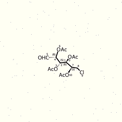 CC(=O)O[C@H]([C@H](OC(C)=O)[C@H](C=O)OC(C)=O)[C@@H](CCl)OC(C)=O